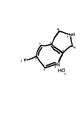 Cl.Fc1cnc2c(c1)CNC2